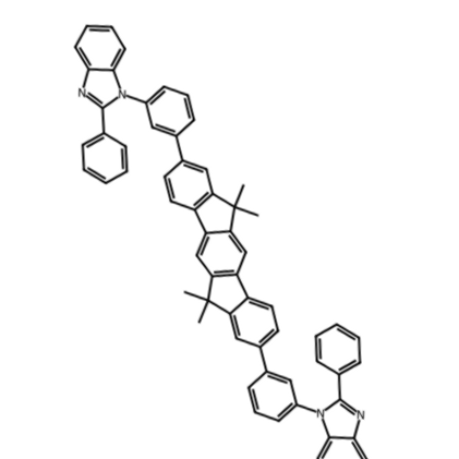 CC1(C)c2cc(-c3cccc(-n4c(-c5ccccc5)nc5ccccc54)c3)ccc2-c2cc3c(cc21)-c1ccc(-c2cccc(-n4c(-c5ccccc5)nc5ccccc54)c2)cc1C3(C)C